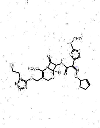 O=CNc1nc(/C(=N/OC2C=CCC2)C(=O)NC2C(=O)N3C(C(=O)O)=C(CSc4nnnn4CCO)CS[C@H]23)cs1